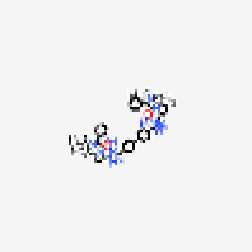 CN(C)C(C(=O)N1CCC[C@H]1c1nnc(-c2ccc(-c3ccc(-c4nnc([C@@H]5CCCN5C(=O)[C@@H](c5ccccc5)N(C)C)[nH]4)cc3)cc2)[nH]1)c1ccccc1